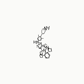 Cc1cc(Nc2ncc3c(n2)N2CCN=C2N(c2c(Cl)cccc2Cl)C3=O)cc(C)c1C1CCNCC1